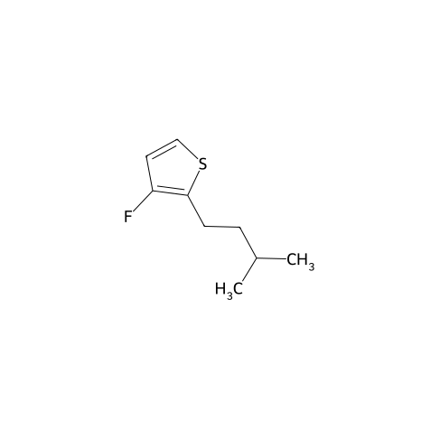 CC(C)CCc1sccc1F